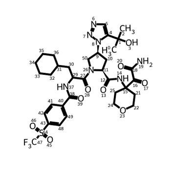 CC(C)(O)c1cnnn1[C@H]1C[C@@H](C(=O)NC2(C(=O)C(N)=O)CCOCC2)N(C(=O)C(CC2CCCCC2)NC(=O)c2ccc(S(=O)(=O)C(F)(F)F)cc2)C1